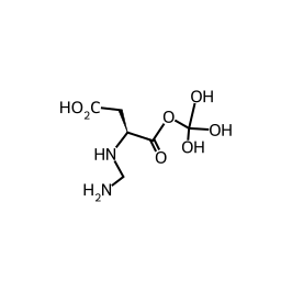 NCN[C@@H](CC(=O)O)C(=O)OC(O)(O)O